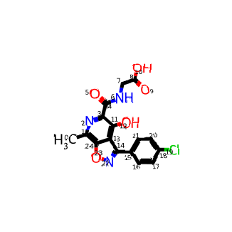 Cc1nc(C(=O)NCC(=O)O)c(O)c2c(-c3ccc(Cl)cc3)noc12